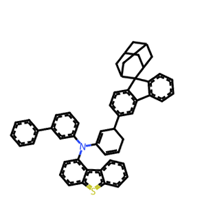 C1=CC(N(c2cccc(-c3ccccc3)c2)c2cccc3sc4ccccc4c23)=CC(c2ccc3c(c2)-c2ccccc2C32C3CC4CC(C3)CC2C4)C1